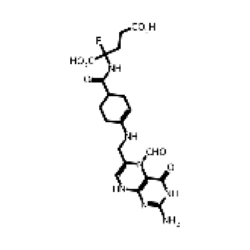 Nc1nc2c(c(=O)[nH]1)N(C=O)C(CNC1=CCC(C(=O)NC(F)(CCC(=O)O)C(=O)O)CC1)=CN2